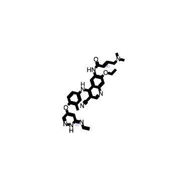 C=C/N=c1/cc(Oc2ccc(Nc3c(C#N)cnc4cc(OCC)c(NC(=O)/C=C/CN(C)C)cc34)cc2C)cn[nH]1